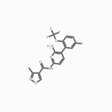 Cc1nocc1C(=O)Nc1ccc(-c2cc(F)ccc2OC(F)(F)F)c(N)n1